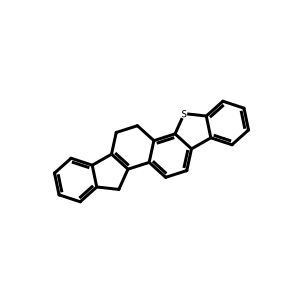 c1ccc2c(c1)CC1=C2CCc2c1ccc1c2sc2ccccc21